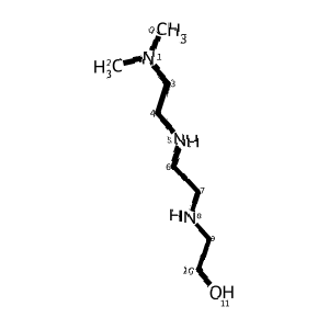 CN(C)CCNCCNCCO